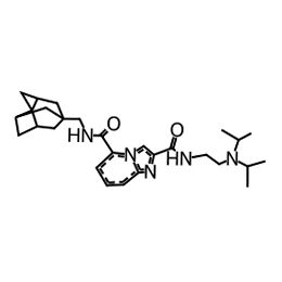 CC(C)N(CCNC(=O)c1cn2c(C(=O)NCC34CC5CC(C3)C53CC3C4)cccc2n1)C(C)C